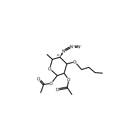 CCCCOC1C(OC(C)=O)C(OC(C)=O)OC(C)[C@H]1N=[N+]=[N-]